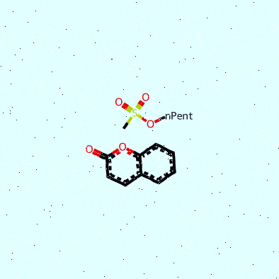 CCCCCOS(C)(=O)=O.O=c1ccc2ccccc2o1